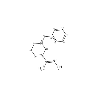 CC(=NO)C1=CCCN(Cc2ccccc2)C1